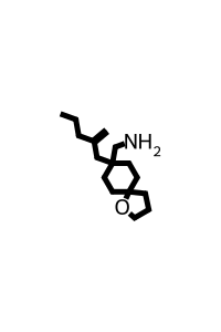 C=C(CCC)CC1(CN)CCC2(CCCO2)CC1